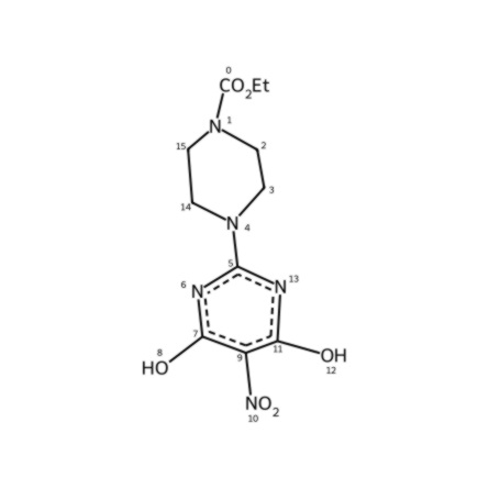 CCOC(=O)N1CCN(c2nc(O)c([N+](=O)[O-])c(O)n2)CC1